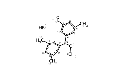 Br.COP(c1cc(C)cc(C)c1)c1cc(C)cc(C)c1